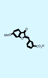 COc1ccc2c(c1)O/C(=C\c1cccc(C(=O)O)c1)C2=O